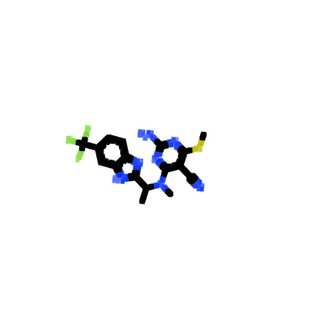 CSc1nc(N)nc(N(C)C(C)c2nc3ccc(C(F)(F)F)cc3[nH]2)c1C#N